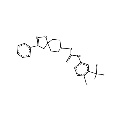 O=C(Nc1ccc(Cl)c(C(F)(F)F)c1)ON1CCC2(CC1)CC(c1ccccc1)=NO2